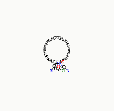 Cc1c(N2C(=O)N(Cc3ccc(C#N)cc3)C3(CCCCCCCCCCCCCCCCCCCCCCCCCCCCCCCCCCCCCCCCC3)C2=O)ccc(C#N)c1Cl